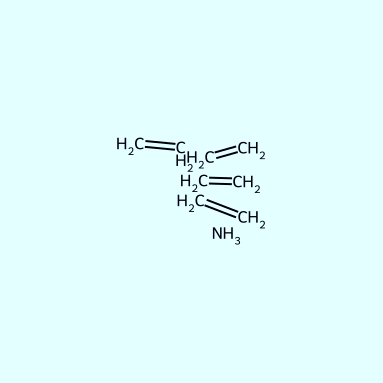 C=C.C=C.C=C.C=C.N